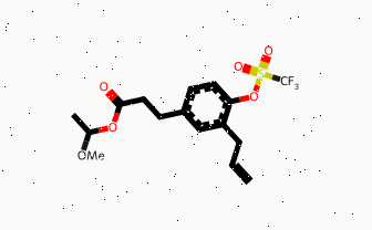 C=CCc1cc(CCC(=O)OC(C)OC)ccc1OS(=O)(=O)C(F)(F)F